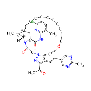 CC(=O)c1nn2c3cc(c(-c4cnc(C)nc4)cc13)OCCCCCCCCCC[C@@]13C[C@@H](C(=O)Nc4nc(Br)ccc4C)N(C(=O)C2)[C@@H]1[C@@H]3C